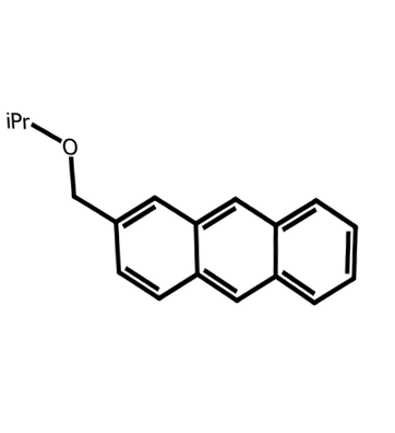 CC(C)OCc1ccc2cc3ccccc3cc2c1